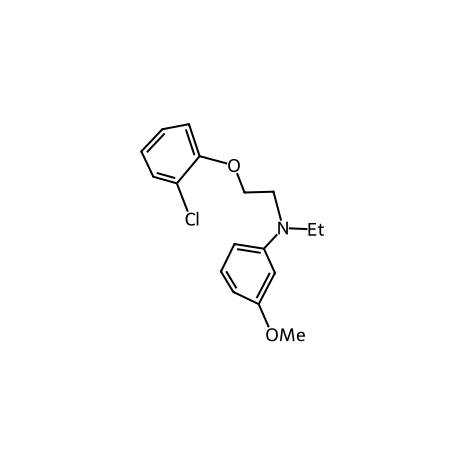 CCN(CCOc1ccccc1Cl)c1cccc(OC)c1